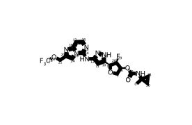 CC1(NC(=O)O[C@H]2CO[C@@H](c3cc(Nc4nccc5nc(COC(F)(F)F)cn45)n[nH]3)[C@H]2F)CC1